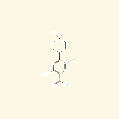 Cc1nc(C2CCC(F)(F)CC2)c(C)nc1C(N)=O